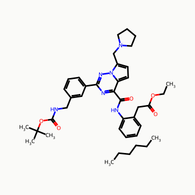 CCCCCC.CCOC(=O)Cc1ccccc1NC(=O)c1nc(-c2cccc(CNC(=O)OC(C)(C)C)c2)nn2c(CN3CCCC3)ccc12